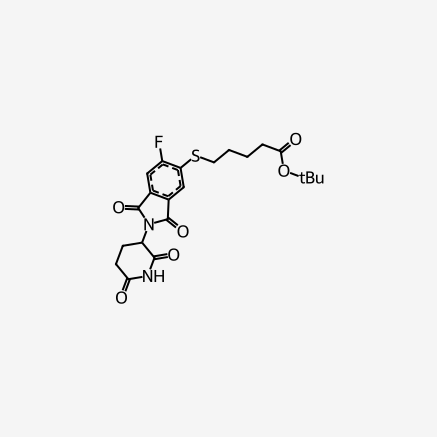 CC(C)(C)OC(=O)CCCCSc1cc2c(cc1F)C(=O)N(C1CCC(=O)NC1=O)C2=O